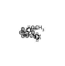 C=Cc1c(C([N+](=O)[O-])[N+](=O)[O-])ccc(OCC)c1OCc1ccccc1